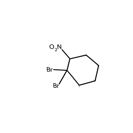 O=[N+]([O-])C1CCC[CH]C1(Br)Br